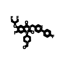 O=CN1CCC(n2c(=O)n(Cc3ccc(-c4ccc(F)cc4)nc3)c(=O)c3cc(OC(CF)CF)c(F)cc32)CC1